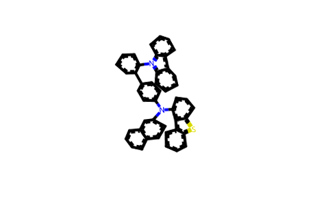 c1ccc(-n2c3ccccc3c3ccccc32)c(-c2ccc(N(c3ccc4ccccc4c3)c3cccc4sc5ccccc5c34)cc2)c1